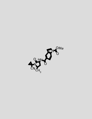 COC(=O)n1ccc2cc(C(=O)NC3CC(C)N(C4(C#N)CC4)C3=O)ccc21